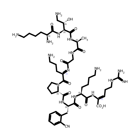 C[C@H](NC(=O)[C@@H](NC(=O)[C@@H](N)CCCCN)[C@@H](O)CN)C(=O)NCC(=O)/N=C(\CCCN)C(=O)N1CCC[C@H]1C(=O)N[C@@H](Cc1ccccc1C#N)C(=O)N[C@@H](CCCCN)C(=O)N/C(=C\CCNC(=N)N)C(=O)O